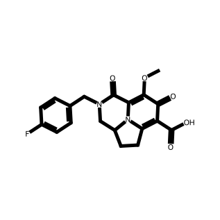 COc1c2n3c(c(C(=O)O)c1=O)CCC3CN(Cc1ccc(F)cc1)C2=O